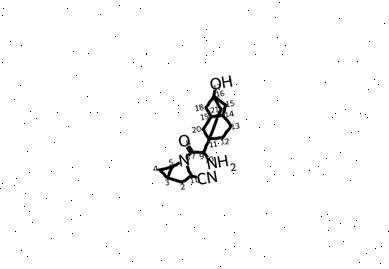 N#CC1CC2CC2N1C(=O)C(N)C12CCC3CC(O)(CC3C1)C2